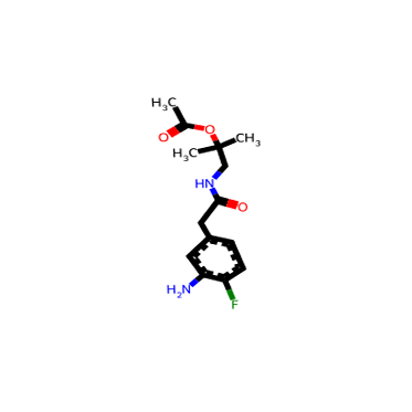 CC(=O)OC(C)(C)CNC(=O)Cc1ccc(F)c(N)c1